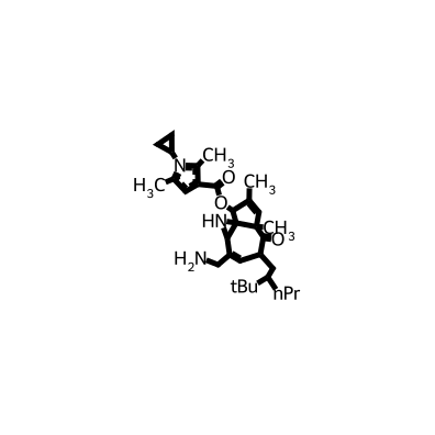 CCCC(CC1C=C(CN)C2NC23C(OC(=O)c2cc(C)n(C4CC4)c2C)C(C)=CC3(C)C1=O)C(C)(C)C